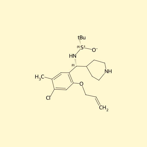 C=CCOc1cc(Cl)c(C)cc1[C@H](N[S@@+]([O-])C(C)(C)C)C1CCNCC1